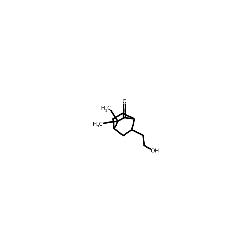 CC1(C)C(=O)C2CCC1CC2CCO